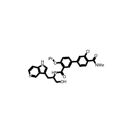 CNC(=O)c1ccc(-c2ccc(OC(C)C)c(C(=O)NC(CO)Cc3c[nH]c4ccncc34)c2)cc1Cl